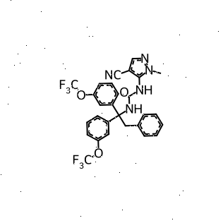 Cn1ncc(C#N)c1NC(=O)NC(Cc1ccccc1)(c1cccc(OC(F)(F)F)c1)c1cccc(OC(F)(F)F)c1